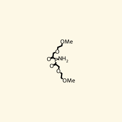 COCCOCC(=O)P(N)C(=O)COCCOC